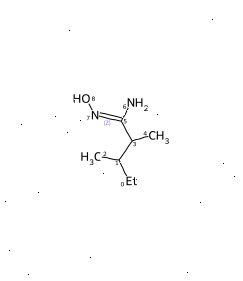 CCC(C)C(C)/C(N)=N/O